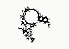 CC[C@@H]1CC1(NC(=O)[C@@H]1C[C@@H]2CN1C(=O)[C@H](C(C)(C)C)NC(=O)O[C@@H]1C[C@H]1CCCCCc1nc3ccc(OC)cc3cc1O2)C(=O)NS(=O)(=O)C1CC1